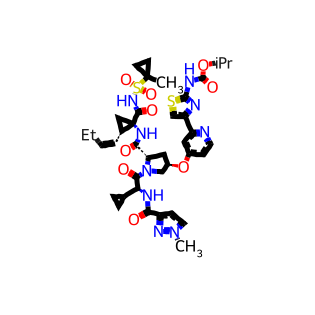 CC/C=C\[C@@H]1C[C@]1(NC(=O)[C@@H]1C[C@@H](Oc2ccnc(-c3csc(NC(=O)OC(C)C)n3)c2)CN1C(=O)[C@@H](NC(=O)c1ccn(C)n1)C1CC1)C(=O)NS(=O)(=O)C1(C)CC1